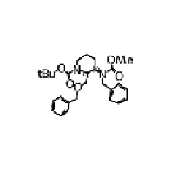 COC(=O)N(Cc1ccccc1)[C@@H]1CCCN(C(=O)OC(C)(C)C)[C@@H]1COCc1ccccc1